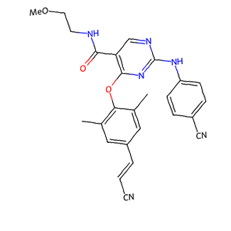 COCCNC(=O)c1cnc(Nc2ccc(C#N)cc2)nc1Oc1c(C)cc(/C=C/C#N)cc1C